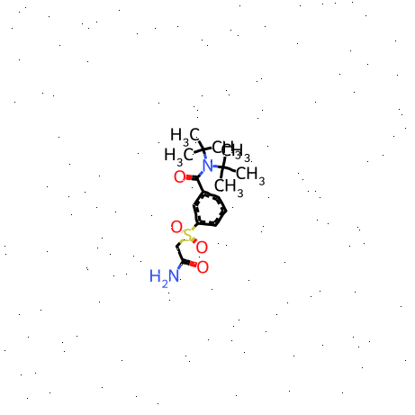 CC(C)(C)N(C(=O)c1cccc(S(=O)(=O)CC(N)=O)c1)C(C)(C)C